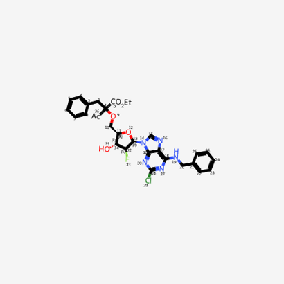 CCOC(=O)C(Cc1ccccc1)(OC[C@H]1O[C@@H](n2cnc3c(NCc4ccccc4)nc(Cl)nc32)[C@@H](F)[C@@H]1O)C(C)=O